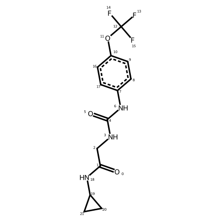 O=C(CNC(=O)Nc1ccc(OC(F)(F)F)cc1)NC1CC1